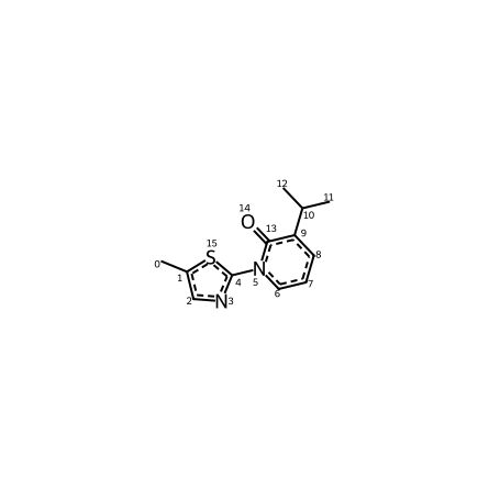 Cc1cnc(-n2cccc(C(C)C)c2=O)s1